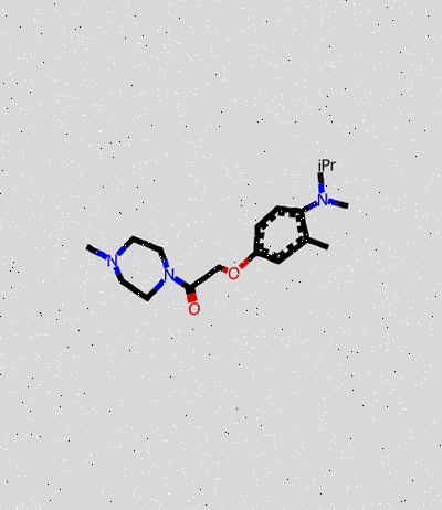 Cc1cc(OCC(=O)N2CCN(C)CC2)ccc1N(C)C(C)C